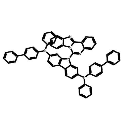 c1ccc(-c2ccc(N(c3ccccc3)c3ccc4c5ccc(N(c6ccccc6)c6ccc(-c7ccccc7)cc6)cc5n(-c5nc6ccccc6c6nc7ccccc7n56)c4c3)cc2)cc1